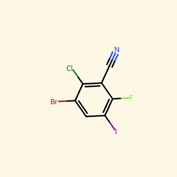 N#Cc1c(F)c(I)cc(Br)c1Cl